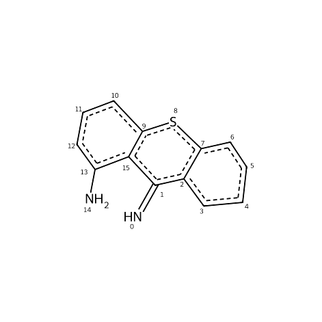 N=c1c2ccccc2sc2cccc(N)c12